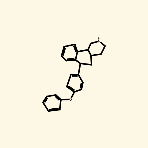 c1ccc(Oc2ccc(C3CC4CCNCC4c4ccccc43)cc2)cc1